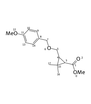 COC(=O)C1C(COCc2ccc(OC)cc2)C1(C)C